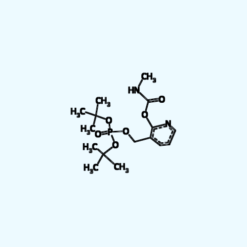 CNC(=O)Oc1ncccc1COP(=O)(OC(C)(C)C)OC(C)(C)C